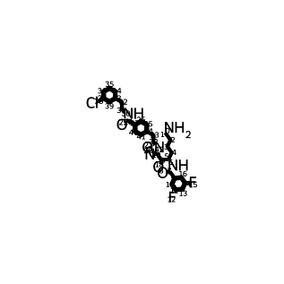 NCCCCC(NC(=O)c1cc(F)cc(F)c1)C(=O)c1noc(Cc2ccc(C(=O)NCCc3cccc(Cl)c3)cc2)n1